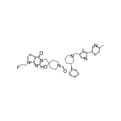 Cc1ccc(-c2ncc(CN3CC[C@@H](C(=O)N4CCC(O)(Cn5cnc6c(ccn6CCF)c5=O)CC4)[C@H](c4ccccc4)C3)s2)cn1